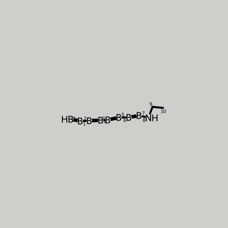 B=BB=BB=BB=BNCC